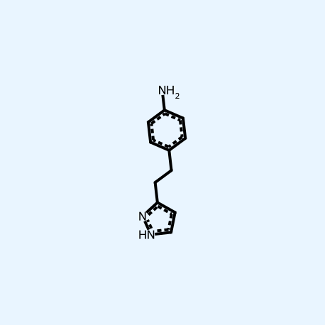 Nc1ccc(CCc2cc[nH]n2)cc1